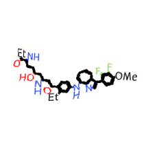 CCC(=O)C(=N)CCC(O)CC(=N)CC(=O)c1ccc(NC2=CCC=CC3C(c4ccc(OC)c(F)c4F)=CN=C23)cc1CC